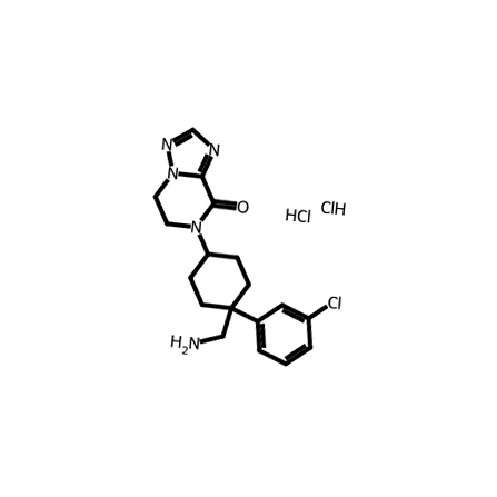 Cl.Cl.NCC1(c2cccc(Cl)c2)CCC(N2CCn3ncnc3C2=O)CC1